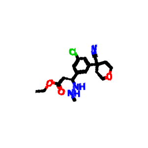 CCOC(=O)C[C@H](NNC)c1cc(Cl)cc(C2(C#N)CCOCC2)c1